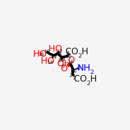 N[C@@H](CC(=O)O)C(=O)O[C@@H](C(=O)O)[C@@H](O)[C@H](O)[C@H](O)CO